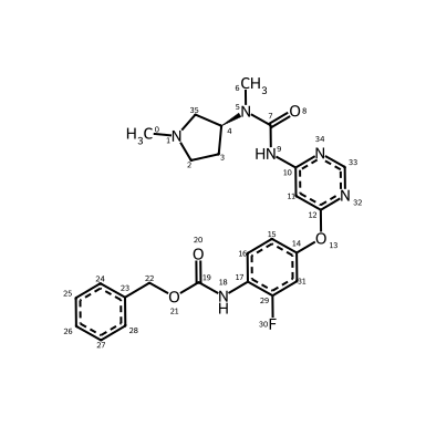 CN1CC[C@H](N(C)C(=O)Nc2cc(Oc3ccc(NC(=O)OCc4ccccc4)c(F)c3)ncn2)C1